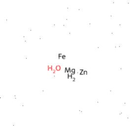 O.[Fe].[MgH2].[Zn]